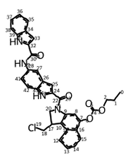 CCCOC(=O)Oc1cc2c(c3ccccc13)C(CCl)CN2C(=O)c1cc2cc(NC(=O)c3cc4ccccc4[nH]3)ccc2[nH]1